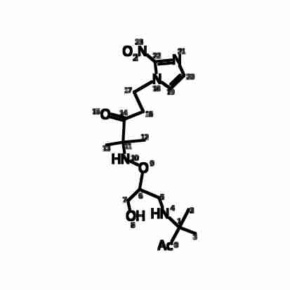 CC(=O)C(C)(C)NCC(CO)ONC(C)(C)C(=O)CCn1ccnc1[N+](=O)[O-]